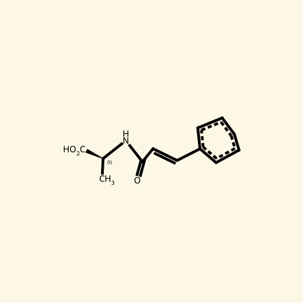 C[C@H](NC(=O)C=Cc1ccccc1)C(=O)O